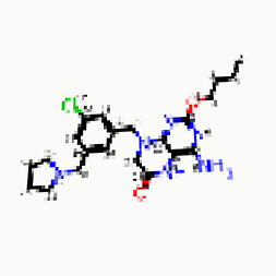 CCCCOc1nc(N)c2c(n1)N(Cc1cc(Cl)cc(CN3CCCC3)c1)CC(=O)N2